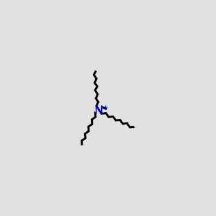 CCCCCCCCCC[N+](CC)(CCCCCCCCCC)CCCCCCCCCC